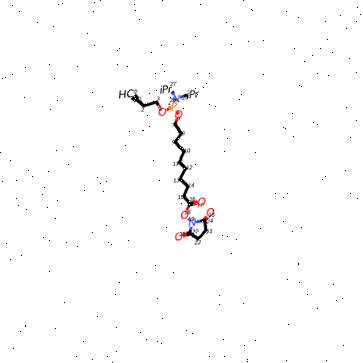 C#CCCOP(OCCCCCCCCCC(=O)ON1C(=O)CCC1=O)N(C(C)C)C(C)C